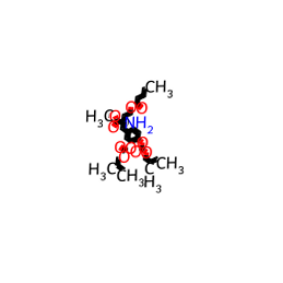 CCCCC(=O)OCC[C@@](N)(Cc1ccc(OC(=O)OCC(C)CC)c(OC(=O)OCC(C)CC)c1)C(=O)OC